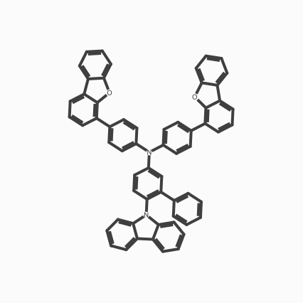 c1ccc(-c2cc(N(c3ccc(-c4cccc5c4oc4ccccc45)cc3)c3ccc(-c4cccc5c4oc4ccccc45)cc3)ccc2-n2c3ccccc3c3ccccc32)cc1